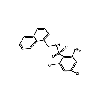 Nc1cc(Cl)cc(Cl)c1S(=O)(=O)NCc1cccc2ccccc12